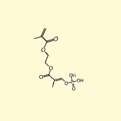 C=C(C)C(=O)OCCOC(=O)C(C)=COP(=O)(O)O